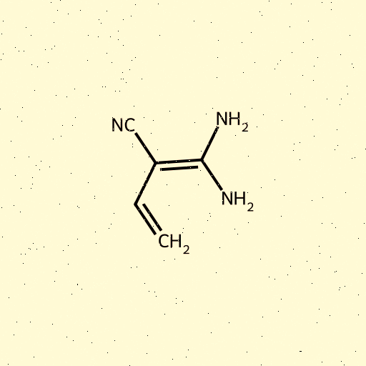 C=CC(C#N)=C(N)N